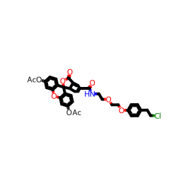 CC(=O)Oc1ccc2c(c1)Oc1cc(OC(C)=O)ccc1C21OC(=O)C2=CC(C(=O)NCCOCCOc3ccc(CCCl)cc3)=CCC21